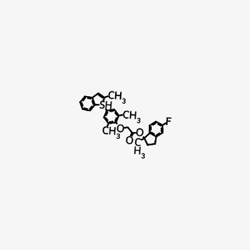 CC1=Cc2ccccc2[SH]1c1cc(C)c(OCC(=O)OC2(C)CCc3cc(F)ccc32)c(C)c1